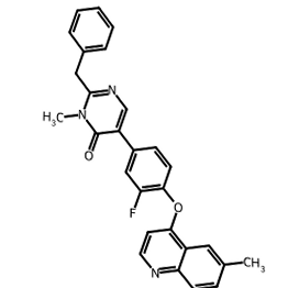 Cc1ccc2nccc(Oc3ccc(-c4cnc(Cc5ccccc5)n(C)c4=O)cc3F)c2c1